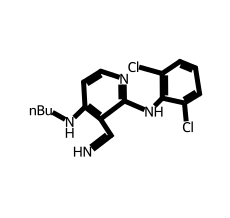 CCCCNc1ccnc(Nc2c(Cl)cccc2Cl)c1C=N